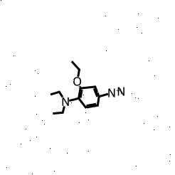 CCOc1cc([N+]#N)ccc1N(CC)CC